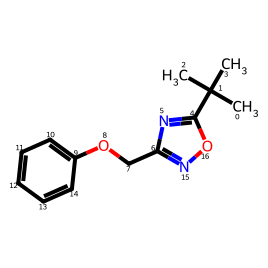 CC(C)(C)c1nc(COc2ccccc2)no1